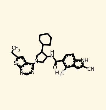 Cc1c(C(=O)NC2CN(c3ncnc4sc(CC(F)(F)F)cc34)CC2C2CCCCC2)ccc2[nH]c(C#N)cc12